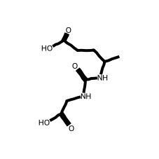 CC(CCC(=O)O)NC(=O)NCC(=O)O